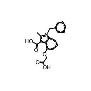 Cc1c(C(=O)O)c2c(OCC(=O)O)cccc2n1Cc1ccccc1